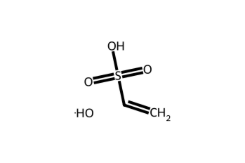 C=CS(=O)(=O)O.[OH]